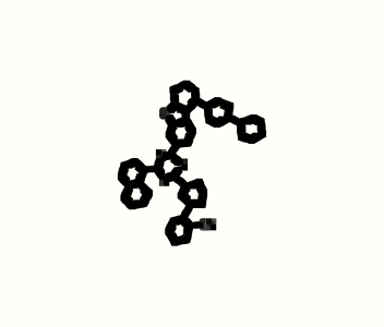 N#Cc1ccccc1-c1cccc(-c2nc(-c3ccc4c(c3)oc3cccc(-c5ccc(-c6ccccc6)cc5)c34)nc(-c3cccc4ccccc34)n2)c1